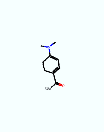 CN(C)C1=CC=C(C(=O)C(C)(C)C)CC1